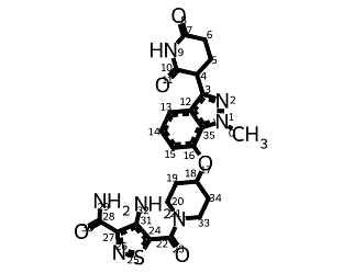 Cn1nc(C2CCC(=O)NC2=O)c2cccc(OC3CCN(C(=O)c4snc(C(N)=O)c4N)CC3)c21